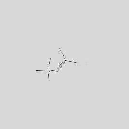 CC(=[C][N+](C)(C)C)C=O